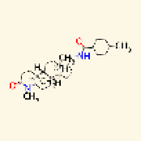 CC1CCC(C(=O)NCC2CC[C@H]3[C@@H]4CCC5N(C)C(=O)CC[C@]5(C)[C@@H]4CC[C@]23C)CC1